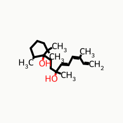 C=CC(C)=CC=CC(C)(O)CCC1(O)C(C)CCCC1(C)C